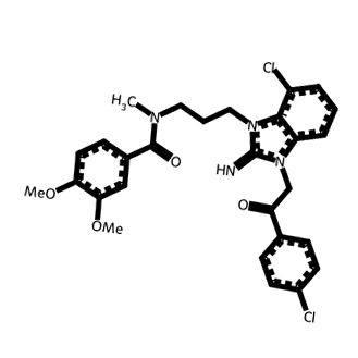 COc1ccc(C(=O)N(C)CCCn2c(=N)n(CC(=O)c3ccc(Cl)cc3)c3cccc(Cl)c32)cc1OC